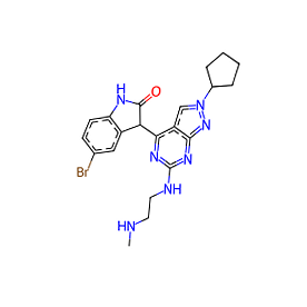 CNCCNc1nc(C2C(=O)Nc3ccc(Br)cc32)c2cn(C3CCCC3)nc2n1